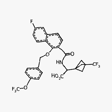 O=C(NC(C(=O)O)C12CC(C(F)(F)F)(C1)C2)c1ccc2cc(F)ccc2c1OCc1ccc(OC(F)(F)F)cc1